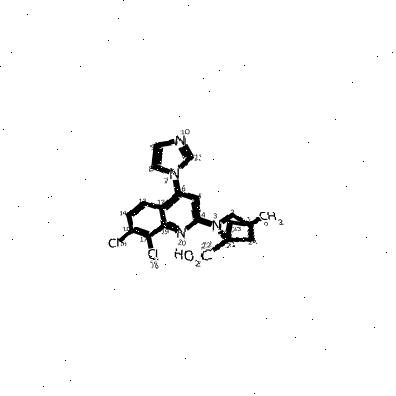 CC12CN(c3cc(-n4ccnc4)c4ccc(Cl)c(Cl)c4n3)C(C(=O)O)(C1)C2